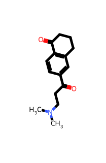 CN(C)CCC(=O)c1ccc2c(c1)CCCC2=O